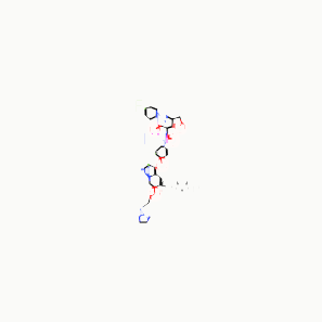 COc1cc2c(Oc3ccc(NC(=O)c4c5c(cn(-c6ccc(F)cc6)c4=O)CCO5)cc3F)ccnc2cc1OCCCN1CCCC1